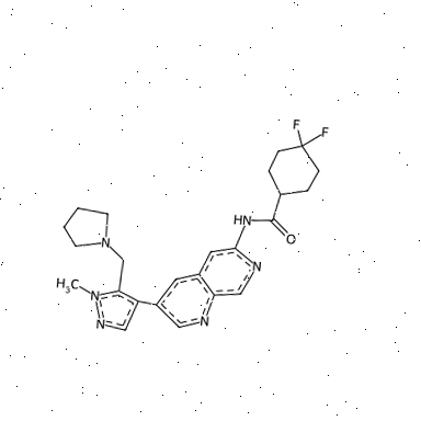 Cn1ncc(-c2cnc3cnc(NC(=O)C4CCC(F)(F)CC4)cc3c2)c1CN1CCCC1